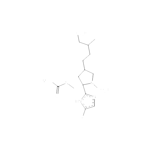 COC(=O)NC[C@]1(c2ncc(Br)[nH]2)CC(CCC(C)CC(=O)O)CN1C(=O)O